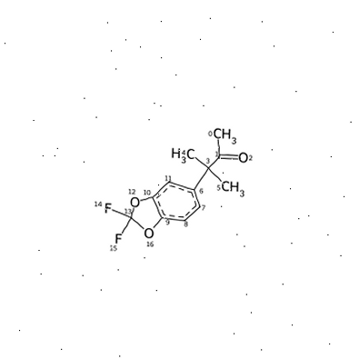 CC(=O)C(C)(C)c1ccc2c(c1)OC(F)(F)O2